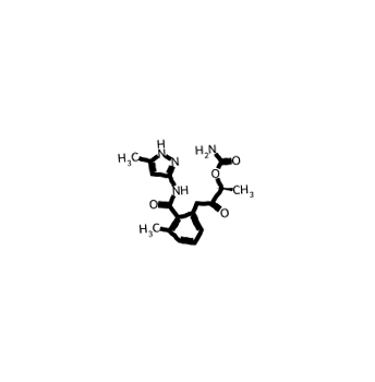 Cc1cc(NC(=O)c2c(C)cccc2CC(=O)[C@H](C)OC(N)=O)n[nH]1